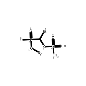 CCOP(=O)(CC)C(CC)OS(C)(=O)=O